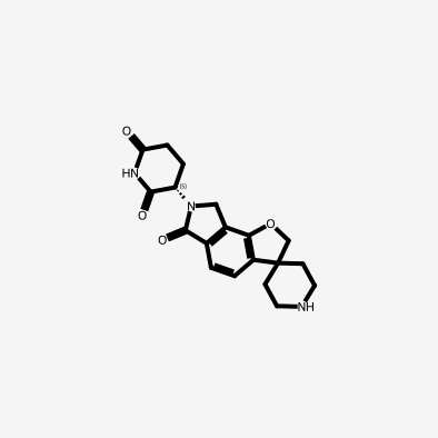 O=C1CC[C@H](N2Cc3c(ccc4c3OCC43CCNCC3)C2=O)C(=O)N1